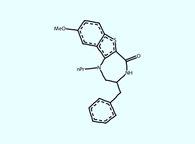 CCCN1CC(Cc2ccccc2)NC(=O)c2sc3ccc(OC)cc3c21